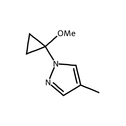 COC1(n2cc(C)cn2)CC1